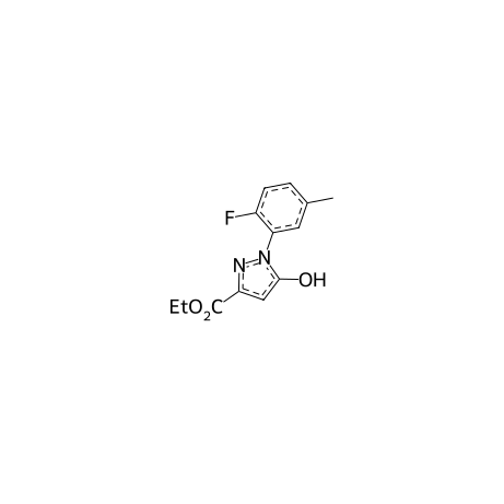 CCOC(=O)c1cc(O)n(-c2cc(C)ccc2F)n1